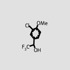 COc1ccc(C(O)C(F)(F)F)cc1Cl